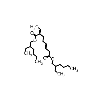 CC=C(CCC=CCC(=O)OCC(CC)CCCC)C(=O)OCC(CC)CCCC